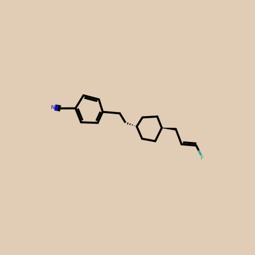 N#Cc1ccc(CC[C@H]2CC[C@H](CC=CF)CC2)cc1